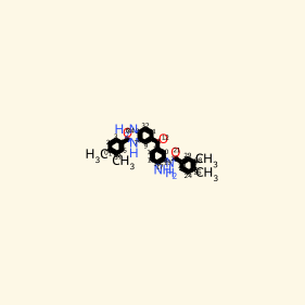 Cc1ccc(C(=O)Nc2cc(C(=O)c3ccc(N)c(NC(=O)c4ccc(C)c(C)c4)c3)ccc2N)cc1C